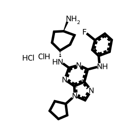 Cl.Cl.N[C@H]1CC[C@H](Nc2nc(Nc3cccc(F)c3)c3ncn(C4CCCC4)c3n2)CC1